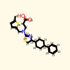 Cc1ccc(CN(CCC(=O)O)C2=NC(C3CCC(c4ccccc4)CC3)CS2)s1